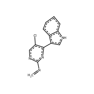 C=Nc1ncc(Cl)c(-c2c[nH]c3ccccc23)n1